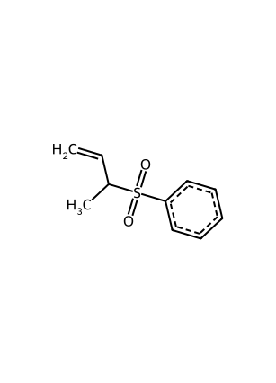 C=CC(C)S(=O)(=O)c1ccccc1